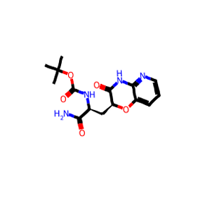 CC(C)(C)OC(=O)N[C@@H](C[C@@H]1Oc2cccnc2NC1=O)C(N)=O